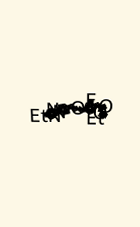 CCc1cnc(N2CCC(CCOCc3ccc(CC(=O)OC(C)(C)CC)c(F)c3)CC2)nc1